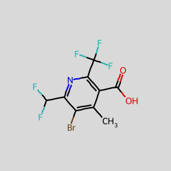 Cc1c(Br)c(C(F)F)nc(C(F)(F)F)c1C(=O)O